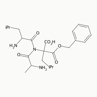 CC(C)CC(N)C(=O)N(C(=O)C(C)N)C(CC(C)C)(C(=O)O)C(=O)OCc1ccccc1